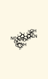 Cc1cc2c(cc1CC(C#N)NC(=O)[C@@H]1CNCCCO1)OCc1cc(C#N)c(C(C)(C)O)cc1-2